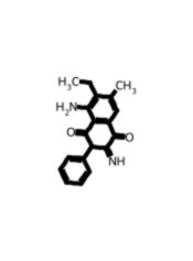 CCc1c(C)cc2c(c1N)C(=O)C(c1ccccc1)C(=N)C2=O